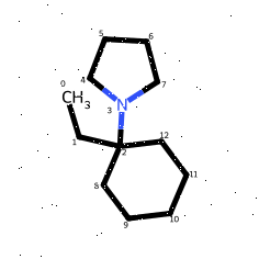 CCC1(N2CCCC2)CCCCC1